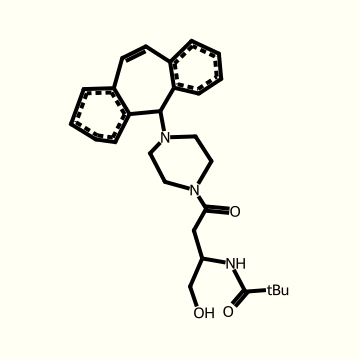 CC(C)(C)C(=O)NC(CO)CC(=O)N1CCN(C2c3ccccc3C=Cc3ccccc32)CC1